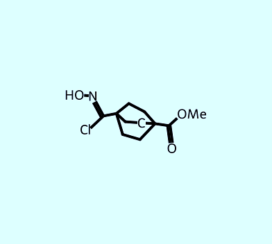 COC(=O)C12CCC(/C(Cl)=N/O)(CC1)CC2